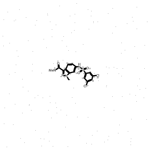 CNC(=O)c1nn(C)c2cc(NS(=O)(=O)c3cc(Cl)cc(Cl)c3)ccc12